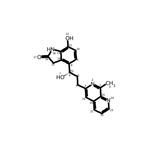 Cc1nc(CC[C@H](O)c2ccc(O)c3c2CC(=O)N3)cc2cccnc12